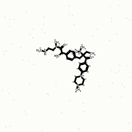 CCC(Cc1ccc(C(C)C(=O)N(C)CCNC)cc1)(C(=O)c1ccc(N2CCN(C)CC2)cc1)N(C)C